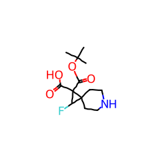 CC(C)(C)OC(=O)C1(C(=O)O)C(F)C12CCNCC2